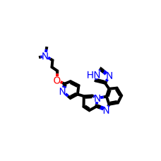 CN(C)CCCOc1ccc(-c2ccc3nc4cccc(-c5c[nH]cn5)c4n3c2)cn1